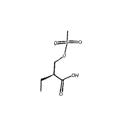 CC[C@@H](COS(C)(=O)=O)C(=O)O